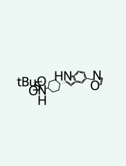 CC(C)(C)S(=O)(=O)N[C@H]1CC[C@H](c2cc3cc(-c4ncco4)ccc3[nH]2)CC1